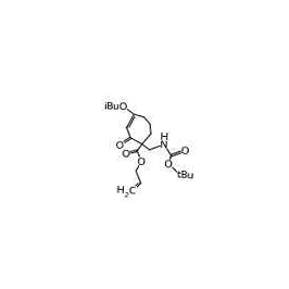 C=CCOC(=O)C1(CNC(=O)OC(C)(C)C)CCCC(OCC(C)C)=CC1=O